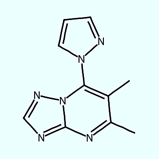 Cc1nc2ncnn2c(-n2cccn2)c1C